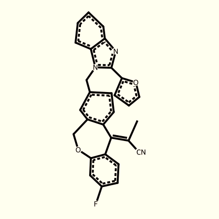 CC(C#N)=C1c2ccc(Cn3c(-c4ccco4)nc4ccccc43)cc2COc2cc(F)ccc21